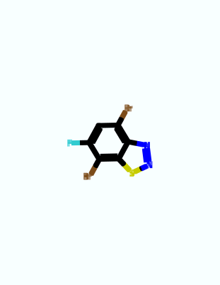 Fc1cc(Br)c2nnsc2c1Br